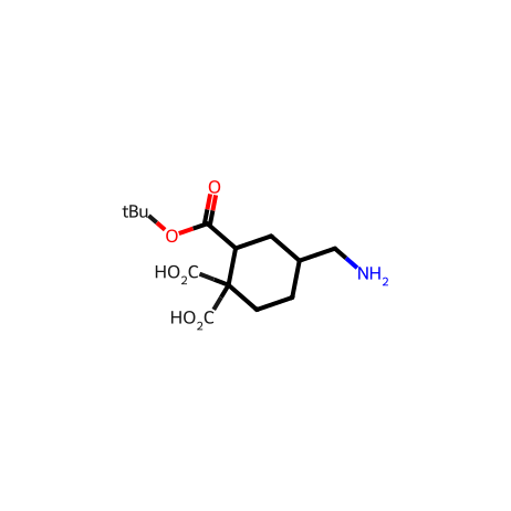 CC(C)(C)OC(=O)C1CC(CN)CCC1(C(=O)O)C(=O)O